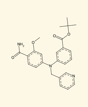 COc1cc(N(Cc2cccnc2)c2cccc(C(=O)OC(C)(C)C)c2)ccc1C(N)=O